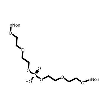 CCCCCCCCCOCCOCCOP(=O)(O)OCCOCCOCCCCCCCCC